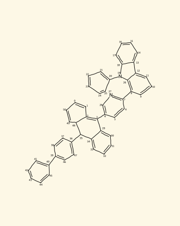 C1=CC2=C(c3ccc(-c4cccc5c6ccccc6n(-c6ccccc6)c45)nc3)c3ccccc3C(c3ccc(-c4ccccc4)cc3)C2C=C1